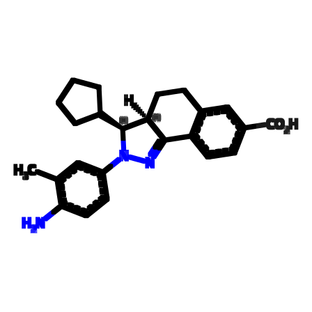 Cc1cc(N2N=C3c4ccc(C(=O)O)cc4CC[C@@H]3[C@@H]2C2CCCC2)ccc1N